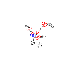 CCCOCC(COCCC(=O)OC(C)(C)C)(COCCC(=O)OC(C)(C)C)NC(=O)CCCC(=O)O